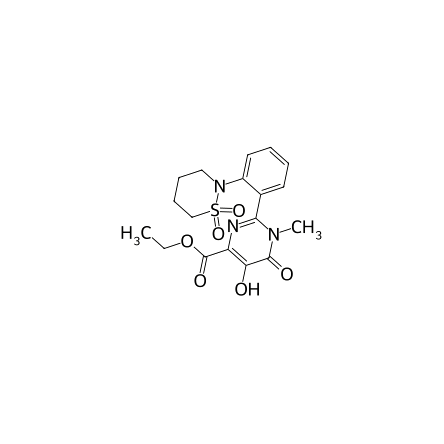 CCOC(=O)c1nc(-c2ccccc2N2CCCCS2(=O)=O)n(C)c(=O)c1O